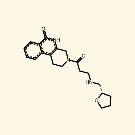 O=C(CCNC[C@@H]1CCCO1)N1CCc2c([nH]c(=O)c3ccccc23)C1